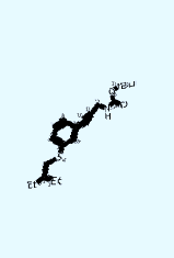 CCC(CC)CSc1cccc(C#CCNC(=O)OC(C)(C)C)c1